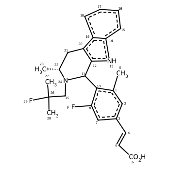 Cc1cc(/C=C/C(=O)O)cc(F)c1C1c2[nH]c3ccccc3c2C[C@@H](C)N1CC(C)(C)F